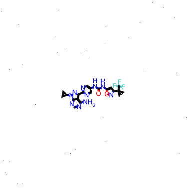 Nc1ncnc2c1c(-c1ncc(NC(=O)Nc3cc(C4(C(F)(F)F)CC4)no3)cn1)nn2C1CC1